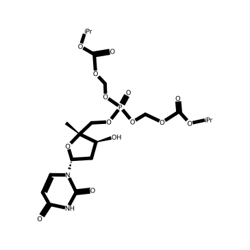 CC(C)OC(=O)OCOP(=O)(OCOC(=O)OC(C)C)OC[C@@]1(C)O[C@@H](n2ccc(=O)[nH]c2=O)C[C@@H]1O